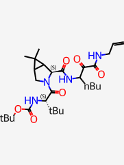 C=CCNC(=O)C(=O)C(CCCC)NC(=O)[C@@H]1C2C(CN1C(=O)[C@@H](NC(=O)OC(C)(C)C)C(C)(C)C)C2(C)C